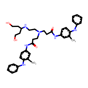 Cc1cc(NC(=O)CCN(CCNC(CCO)CCO)CCC(=O)Nc2ccc(Nc3ccccc3)c([N+](=O)[O-])c2)ccc1Nc1ccccc1